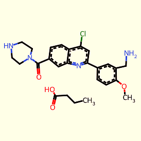 CCCC(=O)O.COc1ccc(-c2cc(Cl)c3ccc(C(=O)N4CCNCC4)cc3n2)cc1CN